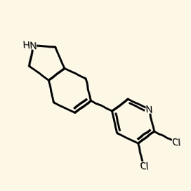 Clc1cc(C2=CCC3CNCC3C2)cnc1Cl